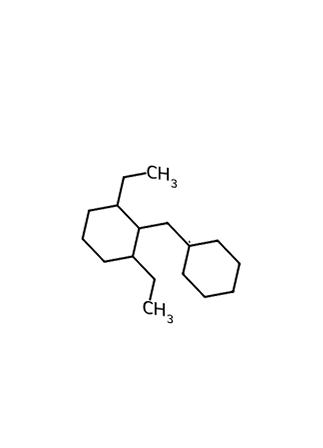 CCC1CCCC(CC)C1C[C]1CCCCC1